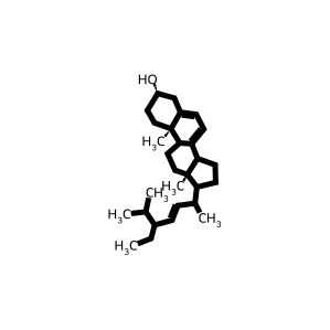 CCC(/C=C/C(C)C1CCC2C3=CC=C4C[C@@H](O)CC[C@]4(C)C3CC[C@@]21C)C(C)C